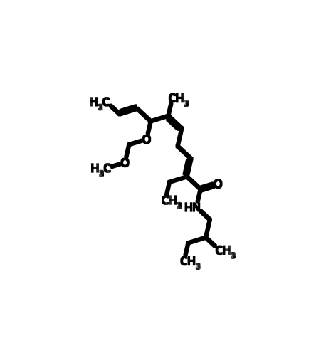 CC=CC(OCOC)/C(C)=C\C/C=C(\CC)C(=O)NCC(C)CC